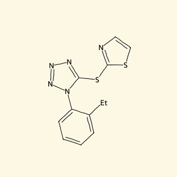 CCc1ccccc1-n1nnnc1Sc1nccs1